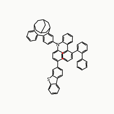 c1ccc(-c2ccccc2-c2ccccc2-c2ccccc2N(c2ccc(-c3ccc4c(c3)sc3ccccc34)cc2)c2ccc3c(c2)C2CC4CC(CC(C4)c4ccccc4-3)C2)cc1